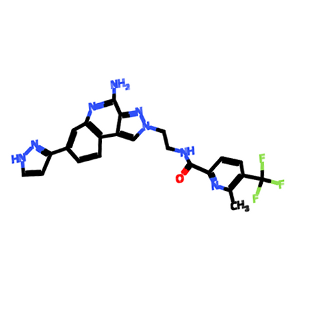 Cc1nc(C(=O)NCCn2cc3c(n2)c(N)nc2cc(-c4cc[nH]n4)ccc23)ccc1C(F)(F)F